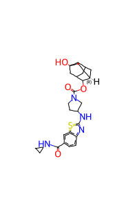 O=C(NC1CC1)c1ccc2nc(NC3CCN(C(=O)OC4C5CC6C[C@@H]4CC(O)(C6)C5)C3)sc2c1